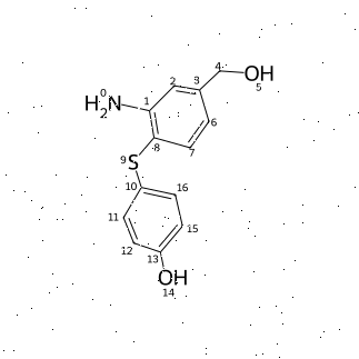 Nc1cc(CO)ccc1Sc1ccc(O)cc1